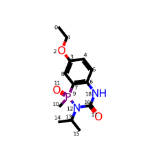 CCOc1ccc2c(c1)P(C)(=O)N(C(C)C)C(=O)N2